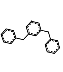 [c]1cc(Cc2ccccc2)cc(Cc2ccccc2)c1